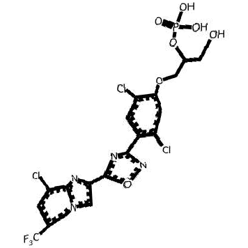 O=P(O)(O)OC(CO)COc1cc(Cl)c(-c2noc(-c3cn4cc(C(F)(F)F)cc(Cl)c4n3)n2)cc1Cl